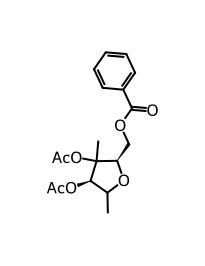 CC(=O)O[C@@H]1C(C)O[C@H](COC(=O)c2ccccc2)C1(C)OC(C)=O